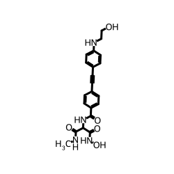 CNC(=O)C(NC(=O)c1ccc(C#Cc2ccc(NCCO)cc2)cc1)C(=O)NO